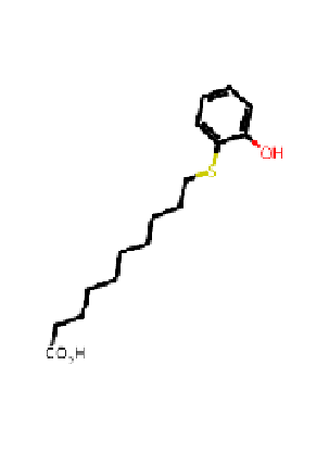 O=C(O)CCCCCCCCCSc1ccccc1O